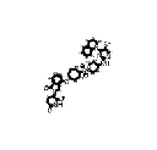 O=C1CCC(N2Cc3c(OC4CCCC(S(=O)(=O)N5CCC(Nc6ncc(Br)c(N7CCCc8ccccc87)n6)CC5)CC4)cccc3C2=O)C(=O)N1